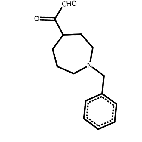 O=CC(=O)C1CCCN(Cc2ccccc2)CC1